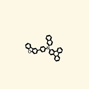 c1ccc2cc(N(c3ccc(-c4ccc5oc6ccccc6c5c4)cc3)c3ccc4c5ccccc5c5ccccc5c4c3)ccc2c1